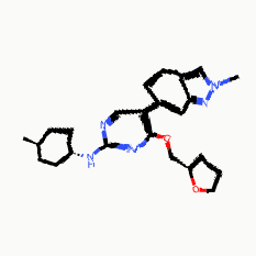 Cn1cc2ccc(-c3cnc(N[C@H]4CC[C@H](C)CC4)nc3OC[C@H]3CCCO3)cc2n1